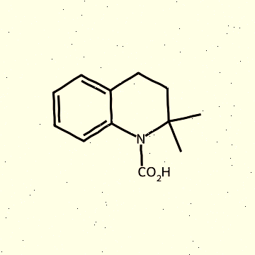 CC1(C)CCc2ccccc2N1C(=O)O